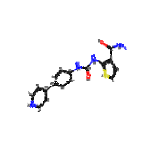 NC(=O)c1ccsc1NC(=O)Nc1ccc(-c2ccncc2)cc1